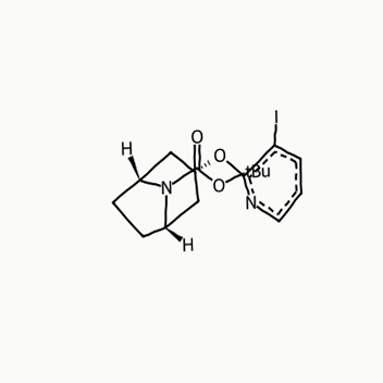 CC(C)(C)OC(=O)N1[C@@H]2CC[C@H]1C[C@@H](Oc1ncccc1I)C2